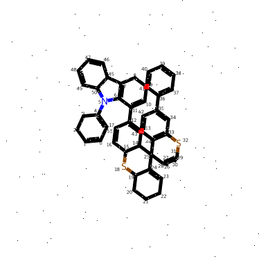 C1=CCCC(N2C3=C(CCC=C3C3=CC4C(C=C3)SC3CCCC=C3C43c4ccccc4Sc4cc(-c5ccccc5)ccc43)C3C=CC=CC32)=C1